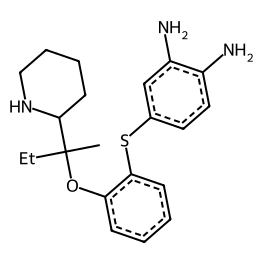 CCC(C)(Oc1ccccc1Sc1ccc(N)c(N)c1)C1CCCCN1